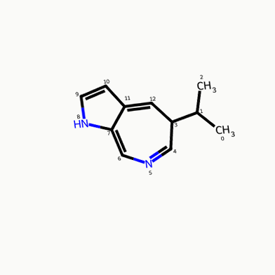 CC(C)C1C=NC=c2[nH]ccc2=C1